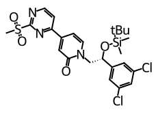 CC(C)(C)[Si](C)(C)O[C@@H](Cn1ccc(-c2ccnc(S(C)(=O)=O)n2)cc1=O)c1cc(Cl)cc(Cl)c1